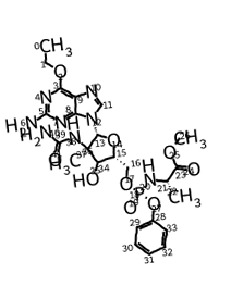 CCOc1nc(N)nc2c1ncn2[C@@H]1O[C@H](COP(=O)(N[C@@H](C)C(=O)OC)Oc2ccccc2)C(O)[C@@]1(C)NC(N)=O